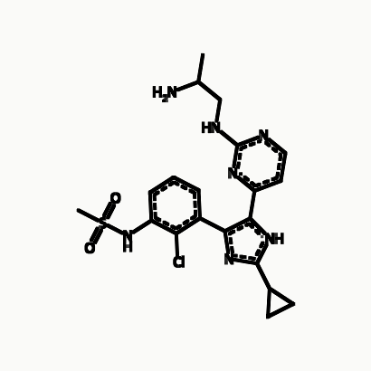 CC(N)CNc1nccc(-c2[nH]c(C3CC3)nc2-c2cccc(NS(C)(=O)=O)c2Cl)n1